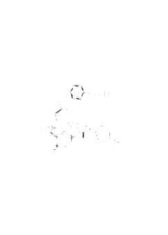 CO[C@@H]1[C@H](OC(=O)N[C@H]2CC[C@H](N)CC2)CC[C@]2(CO2)[C@H]1[C@@]1(C)O[C@@H]1CC=C(C)C.O=S(=O)(O)c1ccccc1